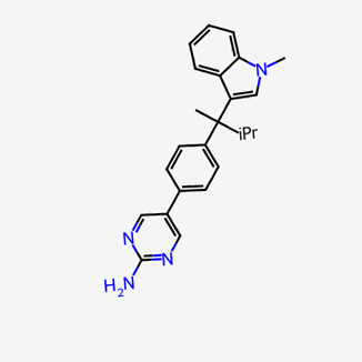 CC(C)C(C)(c1ccc(-c2cnc(N)nc2)cc1)c1cn(C)c2ccccc12